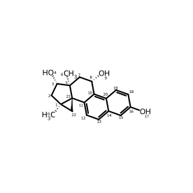 C[C@]12C[C@H](O)[C@@]3(C)C[C@H](O)c4c(ccc5cc(O)ccc45)[C@]13C2